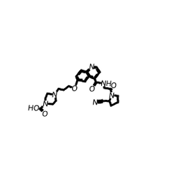 N#CC1CCCN1C(=O)CNC(=O)c1ccnc2ccc(OCCCN3CCN(C(=O)O)CC3)cc12